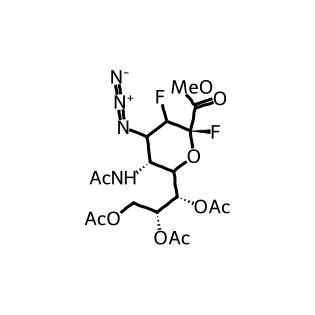 COC(=O)[C@]1(F)OC([C@H](OC(C)=O)[C@@H](COC(C)=O)OC(C)=O)[C@H](NC(C)=O)C(N=[N+]=[N-])C1F